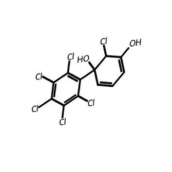 OC1=CC=CC(O)(c2c(Cl)c(Cl)c(Cl)c(Cl)c2Cl)C1Cl